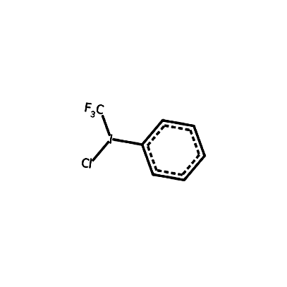 FC(F)(F)I(Cl)c1ccccc1